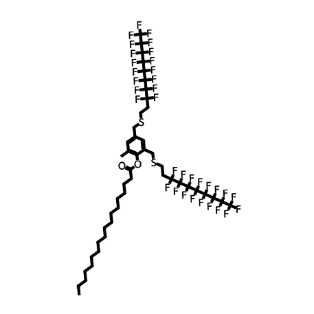 CCCCCCCCCCCCCCCCCC(=O)Oc1c(C)cc(CSCCC(F)(F)C(F)(F)C(F)(F)C(F)(F)C(F)(F)C(F)(F)C(F)(F)C(F)(F)F)cc1CSCCC(F)(F)C(F)(F)C(F)(F)C(F)(F)C(F)(F)C(F)(F)C(F)(F)C(F)(F)F